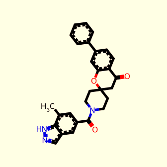 Cc1cc(C(=O)N2CCC3(CC2)CC(=O)c2ccc(-c4ccccc4)cc2O3)cc2cn[nH]c12